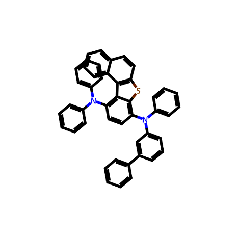 c1ccc(-c2cccc(N(c3ccccc3)c3ccc(N(c4ccccc4)c4ccccc4)c4c3sc3ccc5ccccc5c34)c2)cc1